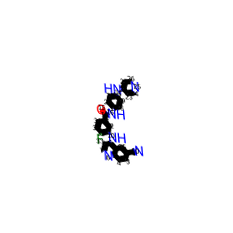 N#Cc1ccc2nccc(Nc3cc(C(=O)Nc4ccc(Nc5ccncc5)cc4)ccc3F)c2c1